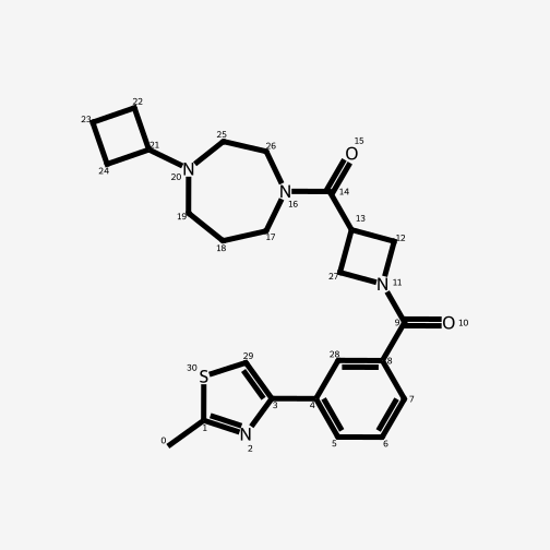 Cc1nc(-c2cccc(C(=O)N3CC(C(=O)N4CCCN(C5CCC5)CC4)C3)c2)cs1